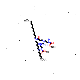 CCCCCCCCC=CCCCCCCCCN(CCCCCCCCC=CCCCCCCCC)C(=O)CCN(CCNC(=O)OC(C)(C)C)C(=N)NCCNC(=O)OC(C)(C)C